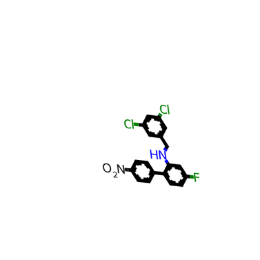 O=[N+]([O-])c1ccc(-c2ccc(F)cc2NCc2cc(Cl)cc(Cl)c2)cc1